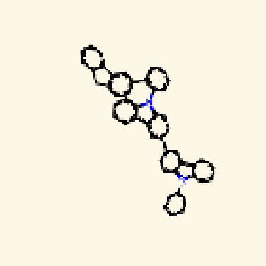 c1ccc(-n2c3ccccc3c3cc(-c4ccc5c(c4)c4ccccc4n5-c4ccccc4-c4ccc5c(c4)-c4ccccc4C5)ccc32)cc1